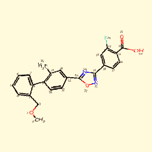 COCc1ccccc1-c1ccc(-c2nc(-c3ccc(C(=O)O)c(F)c3)no2)cc1C